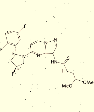 COC(CNC(=S)Nc1cnn2ccc(N3C[C@@H](F)C[C@@H]3c3cc(F)ccc3F)nc12)OC